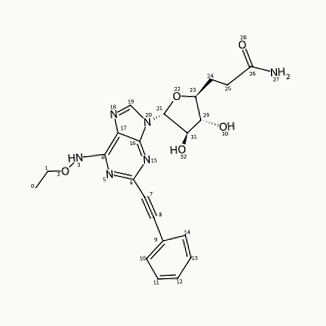 CCONc1nc(C#Cc2ccccc2)nc2c1ncn2[C@@H]1O[C@@H](CCC(N)=O)[C@H](O)[C@H]1O